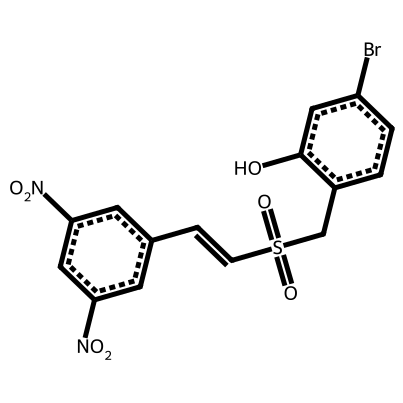 O=[N+]([O-])c1cc(C=CS(=O)(=O)Cc2ccc(Br)cc2O)cc([N+](=O)[O-])c1